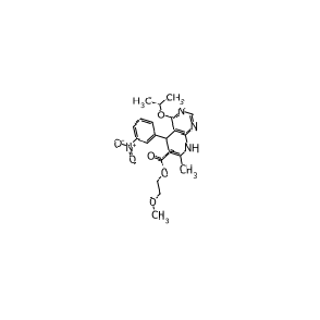 COCCOC(=O)C1=C(C)Nc2ncnc(OC(C)C)c2C1c1cccc([N+](=O)[O-])c1